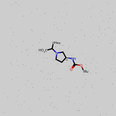 CCCCCCC(C(=O)O)N1CC[C@H](NC(=O)OC(C)(C)C)C1